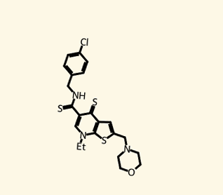 CCn1cc(C(=S)NCc2ccc(Cl)cc2)c(=S)c2cc(CN3CCOCC3)sc21